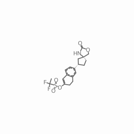 CC(F)(F)S(=O)(=O)OC1=Cc2ccc([C@H]3CC[C@]4(COC(=O)N4)C3)cc2CC1